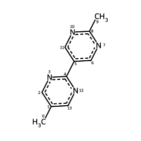 Cc1cnc(-c2cnc(C)nc2)nc1